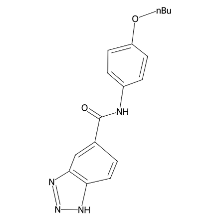 CCCCOc1ccc(NC(=O)c2ccc3[nH]nnc3c2)cc1